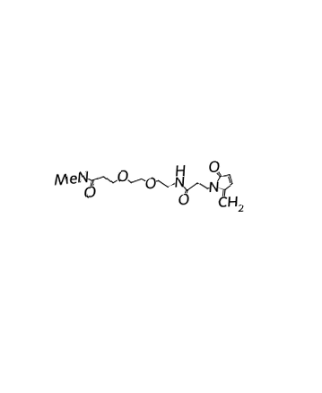 C=C1C=CC(=O)N1CCC(=O)NCCOCCOCCC(=O)NC